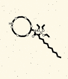 CCCCCCCCCCC(C(=O)NC1COCCOCCONCOCCOCCO1)[Si](OCC)(OCC)OCC